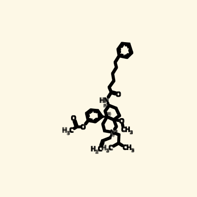 C=CC[N@@+]1(CC(C)C)CC[C@]2(c3cccc(OC(C)=O)c3)C[C@@H](NC(=O)CCCCCc3ccccc3)CCC2(OC)C1